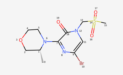 C[C@@H]1COCCN1c1nc(Br)cn(CS(C)(=O)=O)c1=O